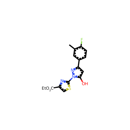 CCOC(=O)c1csc(-n2nc(-c3ccc(F)c(C)c3)cc2O)n1